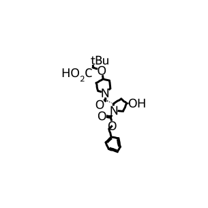 CC(C)(C)C(OC1CCN(C(=O)[C@@H]2C[C@@H](O)CN2C(=O)OCc2ccccc2)CC1)C(=O)O